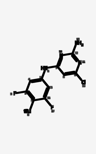 CC(C)(C)c1c(F)cc(Nc2cc(Cl)nc(N)n2)cc1F